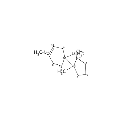 C=C1CCCC1(C)C1(C)CC=C(C)CC1